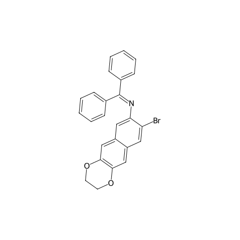 Brc1cc2cc3c(cc2cc1N=C(c1ccccc1)c1ccccc1)OCCO3